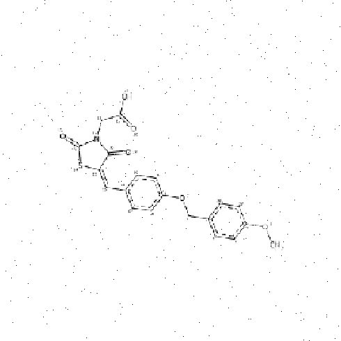 COc1ccc(COc2ccc(C=C3SC(=O)N(CC(=O)O)C3=O)cc2)cc1